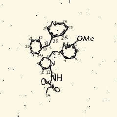 COc1cccc([C@H](c2cccc(NS(C)(=O)=O)n2)C(c2cccnc2)c2cccnc2)n1